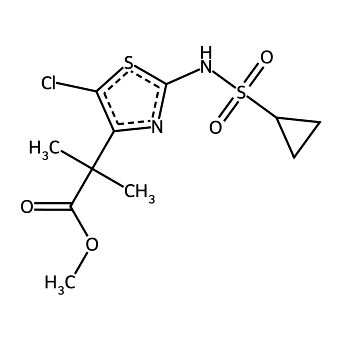 COC(=O)C(C)(C)c1nc(NS(=O)(=O)C2CC2)sc1Cl